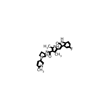 Cc1ccc(N2CC[C@H](NC(=O)c3c(C)[nH]c(/C=C4\C(=O)Nc5ccc(F)cc54)c3C)C2)cn1